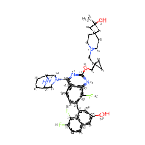 CC1(O)CC2(CCN(CC3(COc4nc(N5CC6CCC(C5)N6)c5ccc(-c6cc(O)cc7ccc(F)c(F)c67)c(F)c5n4)CC3)CC2)C1